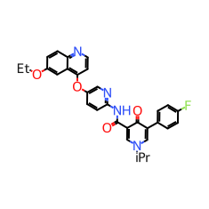 CCOc1ccc2nccc(Oc3ccc(NC(=O)c4cn(C(C)C)cc(-c5ccc(F)cc5)c4=O)nc3)c2c1